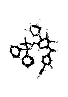 C[C@@H]1CN(c2c(CO[Si](c3ccccc3)(c3ccccc3)C(C)(C)C)nc(C(=O)c3ccc(C#N)c(F)c3)c(F)c2Cl)C[C@H](C)O1